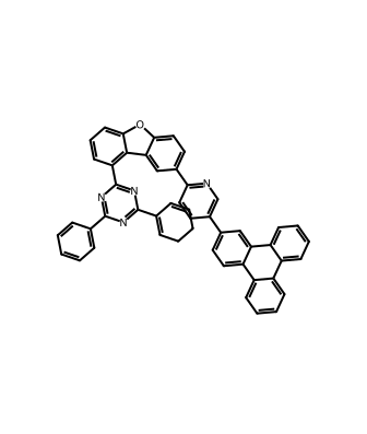 C1=CC(c2nc(-c3ccccc3)nc(-c3cccc4oc5ccc(-c6ccc(-c7ccc8c9ccccc9c9ccccc9c8c7)cn6)cc5c34)n2)=CCC1